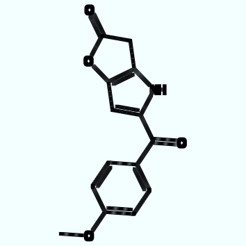 COc1ccc(C(=O)c2cc3c([nH]2)CC(=O)O3)cc1